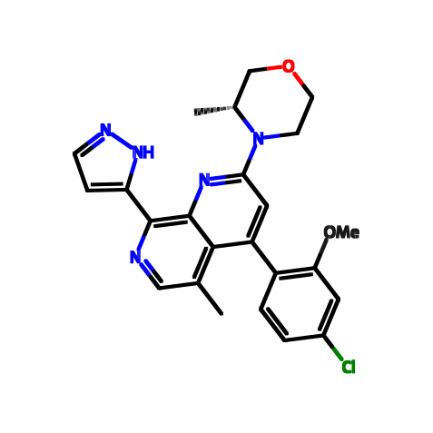 COc1cc(Cl)ccc1-c1cc(N2CCOC[C@H]2C)nc2c(-c3ccn[nH]3)ncc(C)c12